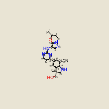 CC(C)C1CCn2ncc(Nc3nccc(-c4cc(C#N)c5c(c4)C(C)(CO)CN5)n3)c2O1